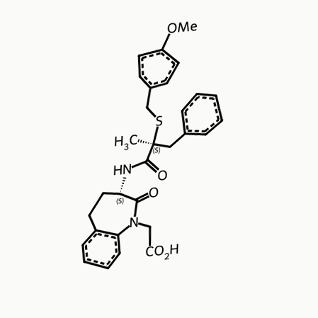 COc1ccc(CS[C@@](C)(Cc2ccccc2)C(=O)N[C@H]2CCc3ccccc3N(CC(=O)O)C2=O)cc1